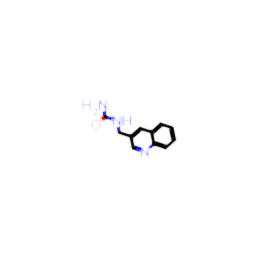 NC(=O)NCc1cnc2ccccc2c1